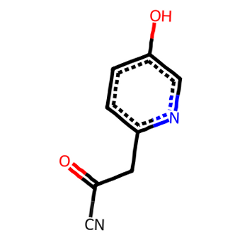 N#CC(=O)Cc1ccc(O)cn1